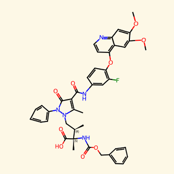 COc1cc2nccc(Oc3ccc(NC(=O)c4c(C)n(C[C@@H](C)[C@](C)(NC(=O)OCc5ccccc5)C(=O)O)n(-c5ccccc5)c4=O)cc3F)c2cc1OC